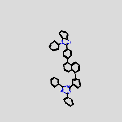 c1ccc(C2=NC(c3cccc(-c4cccc5c(-c6ccc(-c7nc8ccccc8n7-c7ccccc7)cc6)cccc45)c3)NC(c3ccccc3)N2)cc1